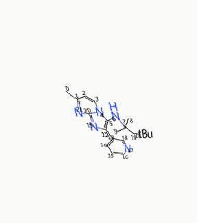 Cc1ccn2c(NC(C)(C)CC(C)(C)C)c(-c3cccnc3)nc2n1